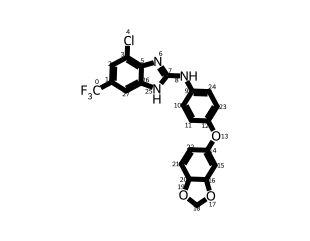 FC(F)(F)c1cc(Cl)c2nc(Nc3ccc(OC4=CC5OCOC5C=C4)cc3)[nH]c2c1